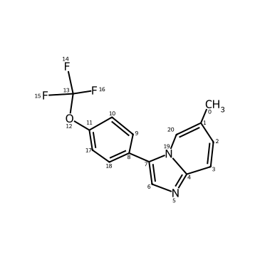 Cc1ccc2ncc(-c3ccc(OC(F)(F)F)cc3)n2c1